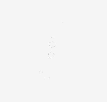 CCCCCCOc1ccc(-c2ccc(C3CCC(CC(C)C)CC3)cc2)cc1